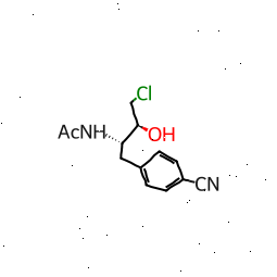 CC(=O)N[C@@H](Cc1ccc(C#N)cc1)[C@H](O)CCl